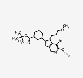 COCCCn1c(C2CCCN(C(=O)OC(C)(C)C)C2)cc2cnc(OC)c(Br)c21